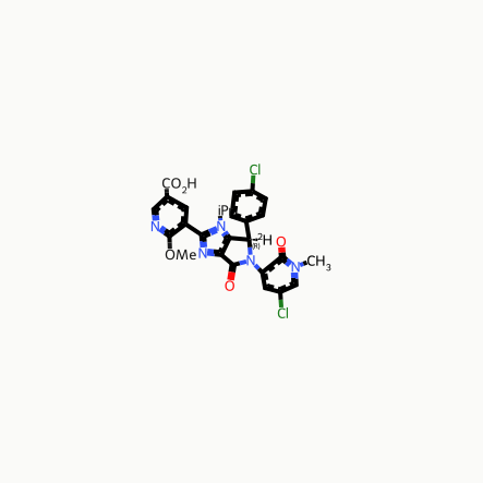 [2H][C@@]1(c2ccc(Cl)cc2)c2c(nc(-c3cc(C(=O)O)cnc3OC)n2C(C)C)C(=O)N1c1cc(Cl)cn(C)c1=O